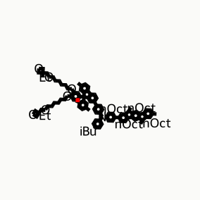 CCCCCCCCC1(CCCCCCCC)c2cc(C)ccc2-c2cc3c(cc21)-c1ccc(-c2ccc(N(c4ccc(-c5ccc6c(c5)C(c5ccc(OCCCCCCOCC7(CC)COC7)c(OCCCCCCOCC7(CC)COC7)c5)(c5cc(C)ccc5C)c5cc(C)ccc5-6)cc4)c4ccc(C(C)CC)cc4)cc2)cc1C3(CCCCCCCC)CCCCCCCC